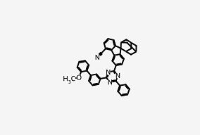 COc1ccccc1-c1cccc(-c2nc(-c3ccccc3)nc(-c3ccc4c(c3)-c3c(C#N)cccc3C43C4CC5CC(C4)CC3C5)n2)c1